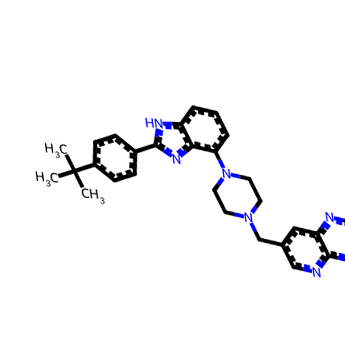 CC(C)(C)c1ccc(-c2nc3c(N4CCN(Cc5cnc6nccnc6c5)CC4)cccc3[nH]2)cc1